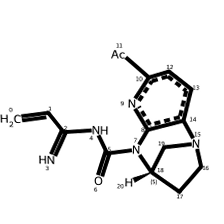 C=CC(=N)NC(=O)N1c2nc(C(C)=O)ccc2N2CC[C@H]1C2